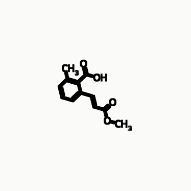 COC(=O)C=Cc1cccc(C)c1C(=O)O